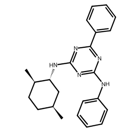 C[C@H]1CC[C@@H](C)[C@H](Nc2nc(Nc3ccccc3)nc(-c3ccccc3)n2)C1